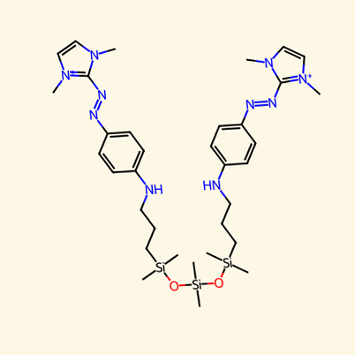 Cn1cc[n+](C)c1/N=N/c1ccc(NCCC[Si](C)(C)O[Si](C)(C)O[Si](C)(C)CCCNc2ccc(/N=N/c3n(C)cc[n+]3C)cc2)cc1